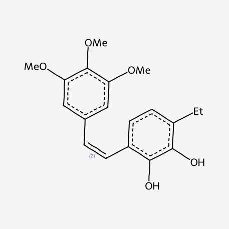 CCc1ccc(/C=C\c2cc(OC)c(OC)c(OC)c2)c(O)c1O